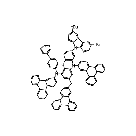 CC(C)(C)c1ccc2c(c1)c1cc(C(C)(C)C)ccc1n2-c1ccc2c(c1)N(c1ccc3c4ccccc4c4ccccc4c3c1)c1cc(Cc3ccc4c5ccccc5c5ccccc5c4c3)cc3c1B2c1cc(-c2ccccc2)ccc1N3c1ccc2c3ccccc3c3ccccc3c2c1